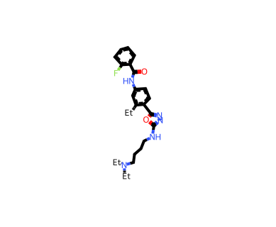 CCc1cc(NC(=O)c2ccccc2F)ccc1-c1nnc(NCCCCN(CC)CC)o1